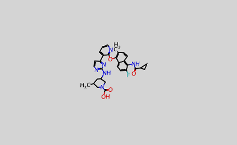 Cc1ccc2c(NC(=O)C3CC3)c(F)ccc2c1Oc1ncccc1-c1ccnc(NC2CC(C)CN(C(=O)O)C2)n1